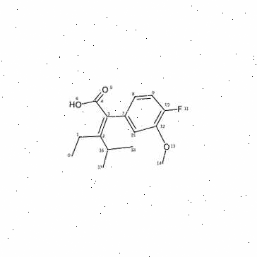 CC/C(=C(\C(=O)O)c1ccc(F)c(OC)c1)C(C)C